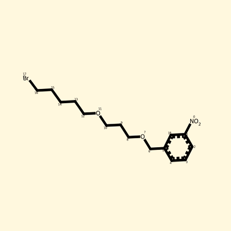 O=[N+]([O-])c1cccc(COCCCOCCCCCBr)c1